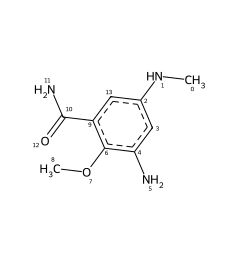 CNc1cc(N)c(OC)c(C(N)=O)c1